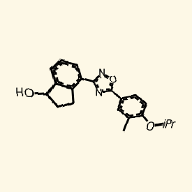 Cc1cc(-c2nc(-c3cccc4c3CCC4O)no2)ccc1OC(C)C